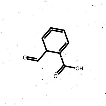 O=CC1C=C=CC=C1C(=O)O